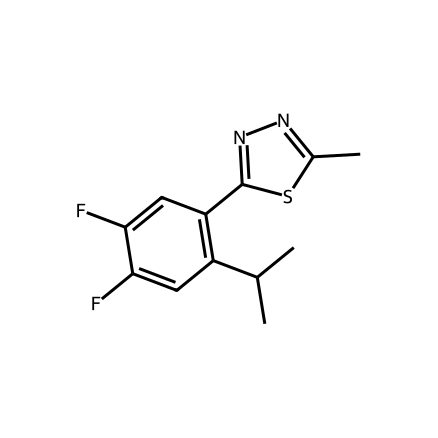 Cc1nnc(-c2cc(F)c(F)cc2C(C)C)s1